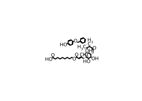 C/C(=C\C(=O)OCCCCCCCCC(=O)O)C[C@@H]1OC[C@H](C[C@@H]2O[C@H]2[C@@H](C)[C@H](C)O)[C@@H](O)[C@H]1O.Oc1ccc(OCc2ccccc2)cc1